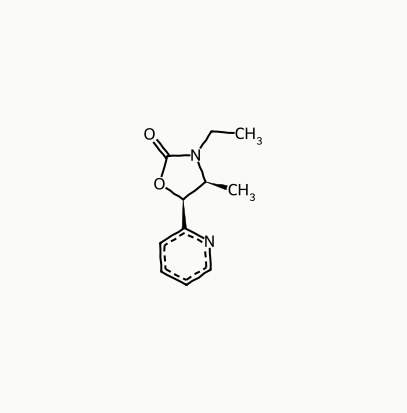 CCN1C(=O)O[C@H](c2ccccn2)[C@@H]1C